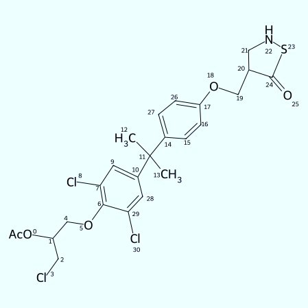 CC(=O)OC(CCl)COc1c(Cl)cc(C(C)(C)c2ccc(OCC3CNSC3=O)cc2)cc1Cl